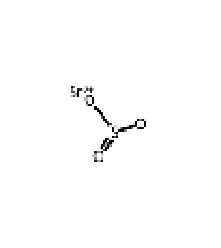 O=S([O-])[O-].[Sr+2]